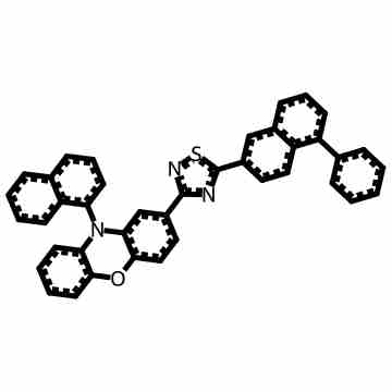 c1ccc(-c2cccc3cc(-c4nc(-c5ccc6c(c5)N(c5cccc7ccccc57)c5ccccc5O6)ns4)ccc23)cc1